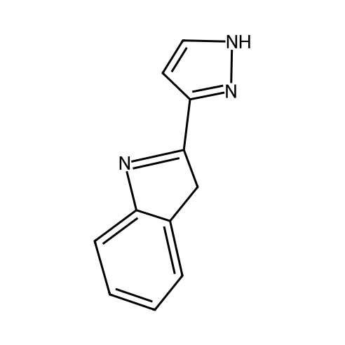 c1ccc2c(c1)CC(c1cc[nH]n1)=N2